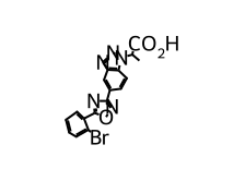 CC(C(=O)O)n1nnc2cc(-c3noc(-c4ccccc4Br)n3)ccc21